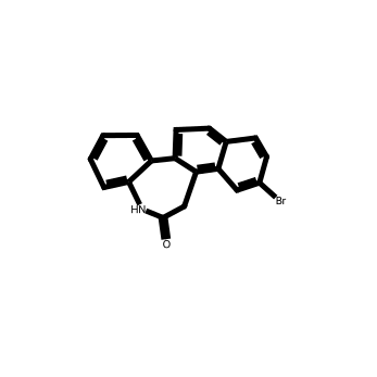 O=C1Cc2c(ccc3ccc(Br)cc23)-c2ccccc2N1